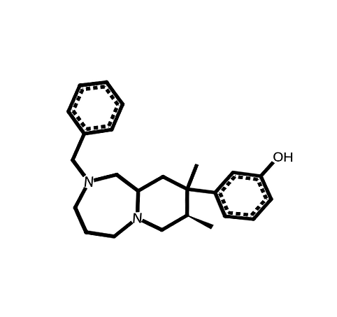 C[C@H]1CN2CCCN(Cc3ccccc3)CC2CC1(C)c1cccc(O)c1